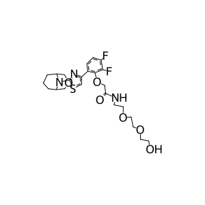 O=C(COc1c(-c2csc(N3C4CCCC3COC4)n2)ccc(F)c1F)NCCOCCOCCO